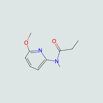 CCC(=O)N(C)c1cccc(OC)n1